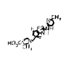 Cc1ccc(NC(=O)Nc2c(F)c(F)cc(CN3CCN(C(=O)O)C(C)C3)c2F)cn1